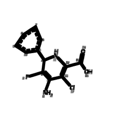 NC1=C(F)C(c2ccccc2)NC(C(=O)O)=C1Cl